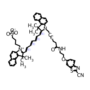 CC1(C)C(/C=C/C=C/C=C/C=C2/N(CCCCCC(=O)NCCOc3ccc4nc(C#N)sc4c3)c3ccc4ccccc4c3C2(C)C)=[N+](CCCCS(=O)(=O)[O-])c2ccc3ccccc3c21